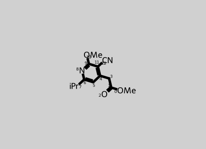 COC(=O)Cc1cc(C(C)C)nc(OC)c1C#N